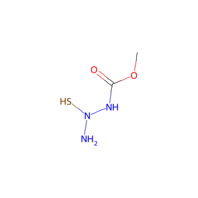 COC(=O)NN(N)S